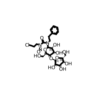 O=NN(CCCl)C(=O)N(CCc1ccccc1)C1O[C@H](CO)[C@@H](O[C@H]2O[C@H](CO)[C@@H](O)[C@H](O)[C@H]2O)[C@H](O)[C@H]1O